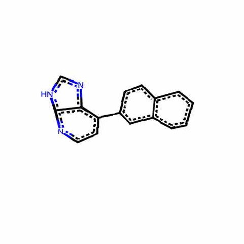 c1ccc2cc(-c3ccnc4[nH]cnc34)ccc2c1